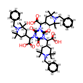 CC1(C)CC(C(C(=O)O)n2c(=O)n(C(C(=O)O)C3CC(C)(C)N(Cc4ccccc4)C(C)(C)C3)c(=O)n(C(C(=O)O)C3CC(C)(C)N(Cc4ccccc4)C(C)(C)C3)c2=O)CC(C)(C)N1Cc1ccccc1